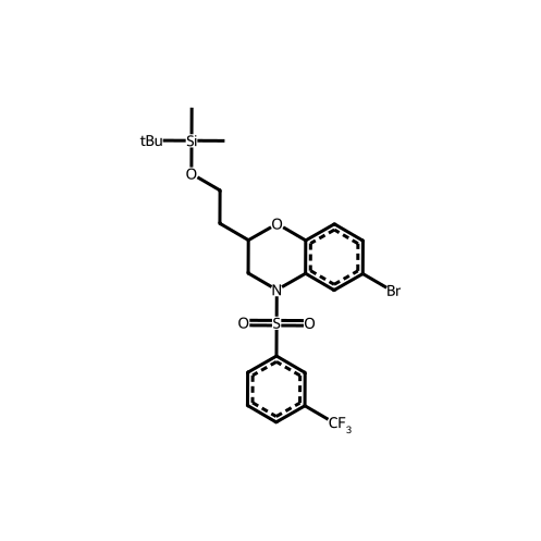 CC(C)(C)[Si](C)(C)OCCC1CN(S(=O)(=O)c2cccc(C(F)(F)F)c2)c2cc(Br)ccc2O1